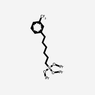 CC(C)O[Si](CCCCCCc1cccc(C(F)(F)F)c1)(OC(C)C)OC(C)C